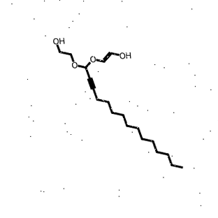 CCCCCCCCCCCCC#CC(OC=CO)OCCO